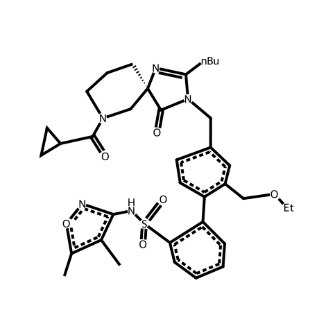 CCCCC1=N[C@@]2(CCCN(C(=O)C3CC3)C2)C(=O)N1Cc1ccc(-c2ccccc2S(=O)(=O)Nc2noc(C)c2C)c(COCC)c1